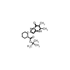 Cc1[nH]c2cc([C@H]3CCCCN3C(=O)OC(C)(C)C)nn2c(=O)c1C